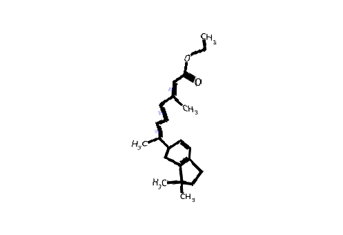 CCOC(=O)/C=C(C)/C=C/C=C(/C)C1C=CC2=C(C1)C(C)(C)CC2